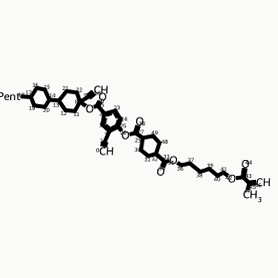 C#Cc1cc(C(=O)OC2(C#C)CCC(C3CCC(CCCCC)CC3)CC2)ccc1OC(=O)C1CCC(C(=O)OCCCCCCOC(=O)C(=C)C)CC1